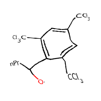 CCCC([O])c1c(C(Cl)(Cl)Cl)cc(C(Cl)(Cl)Cl)cc1C(Cl)(Cl)Cl